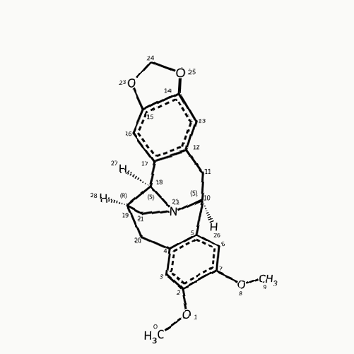 COc1cc2c(cc1OC)[C@@H]1Cc3cc4c(cc3[C@@H]3[C@H](C2)CN31)OCO4